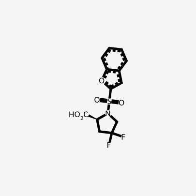 O=C(O)[C@@H]1CC(F)(F)CN1S(=O)(=O)c1cc2ccccc2o1